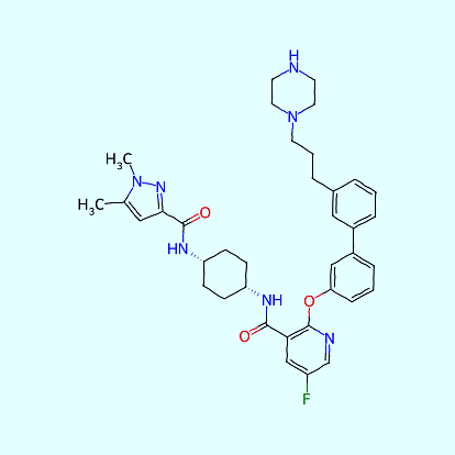 Cc1cc(C(=O)N[C@H]2CC[C@@H](NC(=O)c3cc(F)cnc3Oc3cccc(-c4cccc(CCCN5CCNCC5)c4)c3)CC2)nn1C